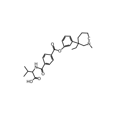 CCC1(c2cccc(OC(=O)c3ccc(C(=O)NC(C(=O)O)C(C)C)cc3)c2)CCCCN(C)C1